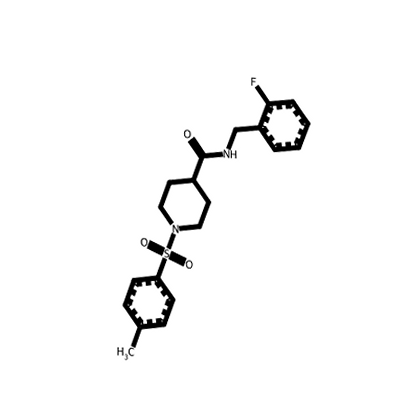 Cc1ccc(S(=O)(=O)N2CCC(C(=O)NCc3ccccc3F)CC2)cc1